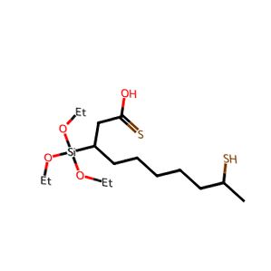 CCO[Si](OCC)(OCC)C(CCCCCC(C)S)CC(O)=S